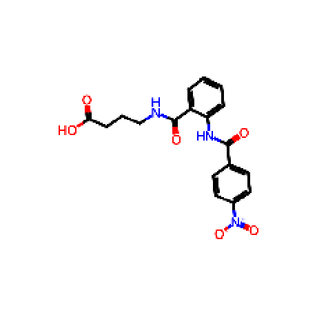 O=C(O)CCCNC(=O)c1ccccc1NC(=O)c1ccc([N+](=O)[O-])cc1